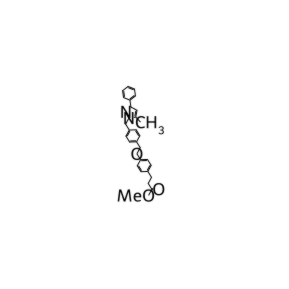 COC(=O)CCc1ccc(OCc2ccc(Cn3nc(-c4ccccc4)cc3C)cc2)cc1